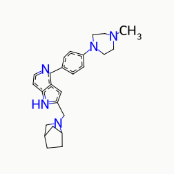 CN1CCN(c2ccc(-c3nccc4[nH]c(CN5CC6CCC5C6)cc34)cc2)CC1